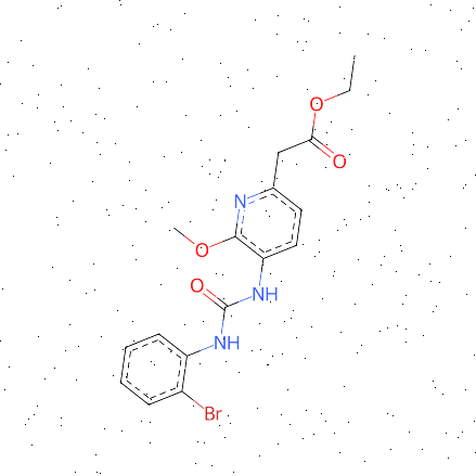 CCOC(=O)Cc1ccc(NC(=O)Nc2ccccc2Br)c(OC)n1